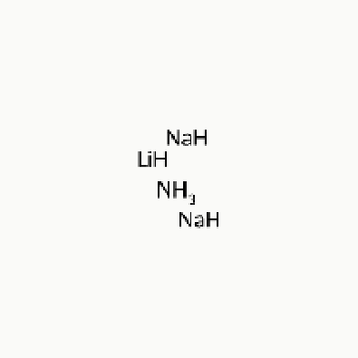 N.[LiH].[NaH].[NaH]